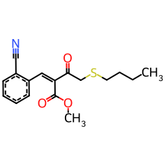 CCCCSCC(=O)C(=Cc1ccccc1C#N)C(=O)OC